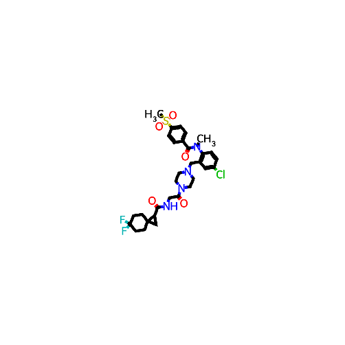 CN(C(=O)c1ccc(S(C)(=O)=O)cc1)c1ccc(Cl)cc1CN1CCN(C(=O)CNC(=O)C2CC23CCC(F)(F)CC3)CC1